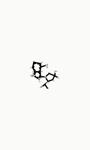 CC(F)[C@@H]1CC(F)(F)CN1c1n[nH]c2cccc(Cl)c12